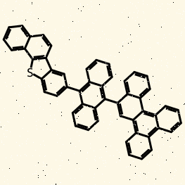 c1ccc2c(c1)ccc1c3cc(-c4c5ccccc5c(-c5cc6c7ccccc7c7ccccc7c6c6ccccc56)c5ccccc45)ccc3sc21